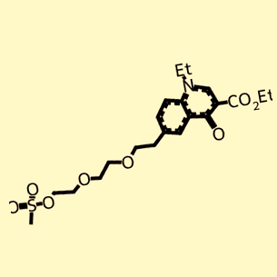 CCOC(=O)c1cn(CC)c2ccc(CCOCCOCCOS(C)(=O)=O)cc2c1=O